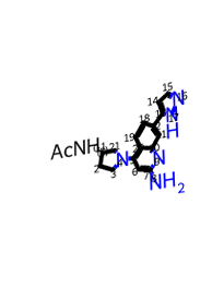 CC(=O)N[C@H]1CCN(c2cc(N)nc3cc(-c4ccn[nH]4)ccc23)C1